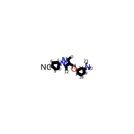 Cc1nn(-c2ccc(C#N)cc2)c(C)c1COc1cccc(N(C)C)c1